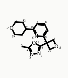 Cc1nnc(C2(c3cccc(C4CCOCC4)n3)COC2)o1